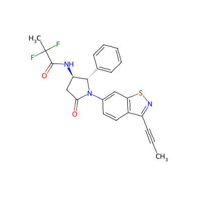 CC#Cc1nsc2cc(N3C(=O)C[C@@H](NC(=O)C(C)(F)F)[C@@H]3c3ccccc3)ccc12